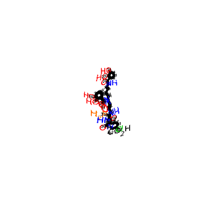 O=C(CN(CCCCNC(=O)c1cccc(O)c1O)C(=O)c1cccc(O)c1O)N[C@@H](P)C(=O)N[C@@H]1C(=O)N2C(C(=O)O)=C(Cl)CC[C@H]12